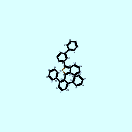 c1ccc(-c2cccc(-c3sc(-c4c(-c5ccccc5)cccc4-c4ccccc4)c4ccccc34)c2)cc1